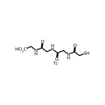 O=C(O)CNC(=O)CNC(=O)CNC(=O)CS.[Tc]